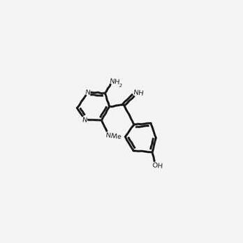 CNc1ncnc(N)c1C(=N)c1ccc(O)cc1